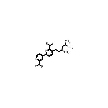 CC(C)C[C@@H](C)CCc1ccc(-c2ccnc(C(F)F)c2)nc1C(F)F